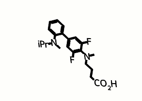 CC(C)N(C)c1ccccc1-c1cc(F)c(N(C)CCCC(=O)O)c(F)c1